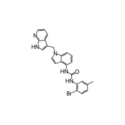 Cc1ccc(Br)c(NC(=O)Nc2cccc3c2ccn3Cc2c[nH]c3ncccc23)c1